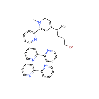 CN1CC=C([CH]([Ru])CCCBr)C=C1c1ccccn1.c1ccc(-c2ccccn2)nc1.c1ccc(-c2ccccn2)nc1